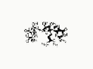 CC(C)=CC[C@@]1(n2cnc3c(=O)[nH]c(N)nc32)O[C@H](COP(=O)(O)OP(=O)(O)OP(=O)(O)O)[C@@H](O)[C@H]1O